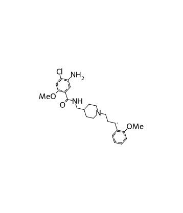 COc1ccccc1[CH]CCN1CCC(CNC(=O)c2cc(N)c(Cl)cc2OC)CC1